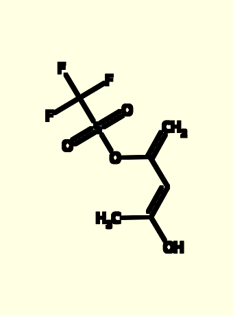 C=C(/C=C(\C)O)OS(=O)(=O)C(F)(F)F